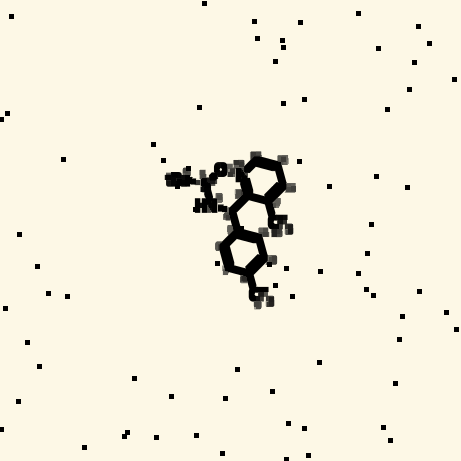 CC(C)(C)[S@+]([O-])N[C@@H](c1ccc(C(F)(F)F)cc1)c1ncccc1C(F)(F)F